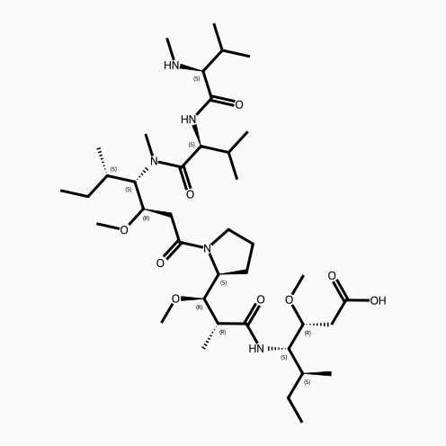 CC[C@H](C)[C@H](NC(=O)[C@H](C)[C@@H](OC)[C@@H]1CCCN1C(=O)C[C@@H](OC)[C@H]([C@@H](C)CC)N(C)C(=O)[C@@H](NC(=O)[C@@H](NC)C(C)C)C(C)C)[C@@H](CC(=O)O)OC